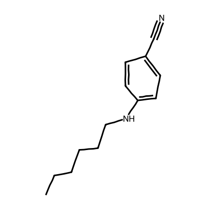 CCCCCCNc1ccc(C#N)cc1